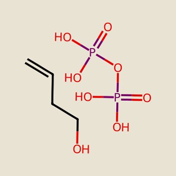 C=CCCO.O=P(O)(O)OP(=O)(O)O